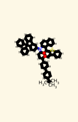 CC(C)(C)c1ccc(-c2ccc(-c3ccc(N(c4ccc5c(c4)-c4ccccc4C5(c4ccccc4)c4ccccc4)c4ccc5ccccc5c4-c4cccc5c4sc4ccccc45)cc3)cc2)cc1